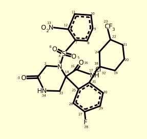 O=C1CN(S(=O)(=O)c2ccccc2[N+](=O)[O-])C(C(=O)NC2CCCC(C(F)(F)F)C2)(c2cc(F)ccc2Cl)CN1